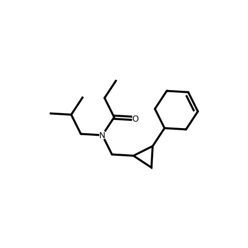 CCC(=O)N(CC(C)C)CC1CC1C1CC=CCC1